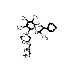 CCc1c(C#N)c(SC(C(N)=O)c2ccccc2)nc(N2CCO[C@@H](CNCC(C)(C)C)C2)c1C#N